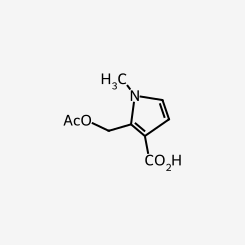 CC(=O)OCc1c(C(=O)O)ccn1C